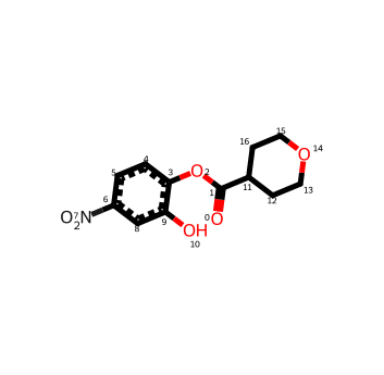 O=C(Oc1ccc([N+](=O)[O-])cc1O)C1CCOCC1